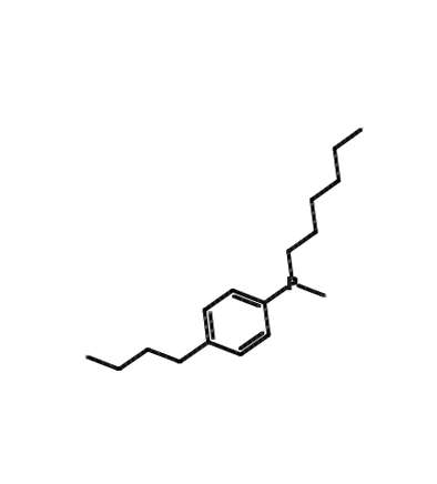 CCCCCCP(C)c1ccc(CCCC)cc1